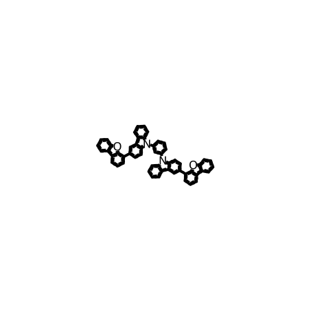 c1cc(-n2c3ccccc3c3cc(-c4cccc5c4oc4ccccc45)ccc32)cc(-n2c3ccccc3c3cc(-c4cccc5c4oc4ccccc45)ccc32)c1